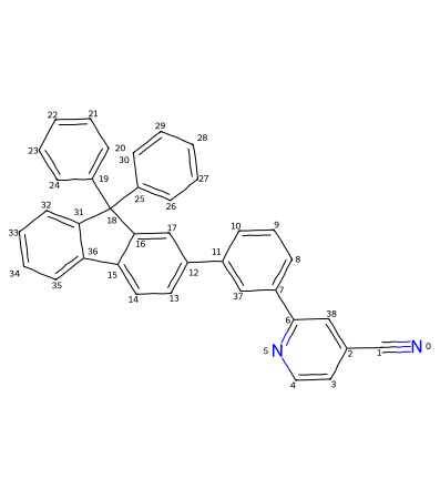 N#Cc1ccnc(-c2cccc(-c3ccc4c(c3)C(c3ccccc3)(c3ccccc3)c3ccccc3-4)c2)c1